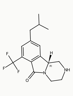 CC(C)Cc1cc2c(c(C(F)(F)F)c1)C(=O)N1CCNC[C@@H]21